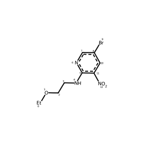 CCOCCNc1ncc(Br)cc1[N+](=O)[O-]